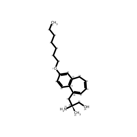 CCCCCCCOc1ccc2c(c1)CC=CC=C2C[C@@](C)(N)CO